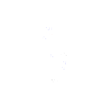 COc1ccc2c(N3CC(CCNS(N)(=O)=O)C3)c(C#N)nnc2c1